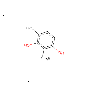 CCCc1ccc(O)c(C(=O)O)c1O